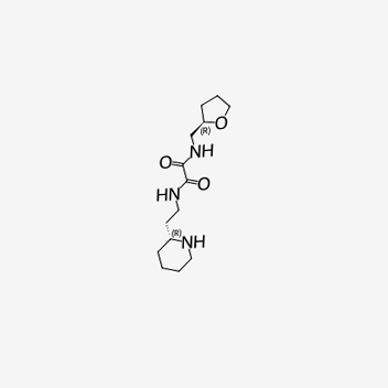 O=C(NCC[C@H]1CCCCN1)C(=O)NC[C@H]1CCCO1